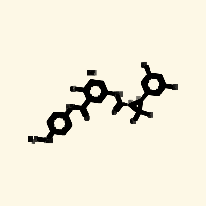 CNc1ccc(NC(=O)c2cc(NC(=O)[C@@H]3[C@@H](c4cc(Cl)cc(Cl)c4)C3(Cl)Cl)ccc2Cl)cc1.Cl